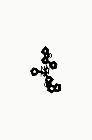 c1ccc(-c2nc(-c3ccc4c(c3)oc3ccc5ccccc5c34)nc(-n3c4ccccc4c4c5oc6ccccc6c5ccc43)n2)cc1